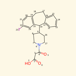 O=C(O)CC(=O)N1CCC(C2c3ccccc3CCc3ccc(I)cc32)CC1